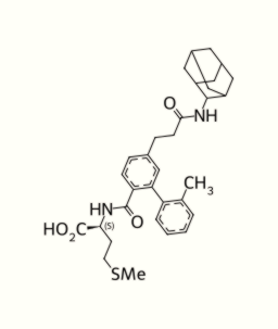 CSCC[C@H](NC(=O)c1ccc(CCC(=O)NC2C3CC4CC(C3)CC2C4)cc1-c1ccccc1C)C(=O)O